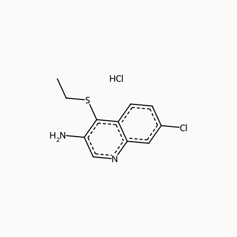 CCSc1c(N)cnc2cc(Cl)ccc12.Cl